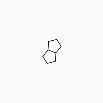 [CH]1CCC2CCCC12